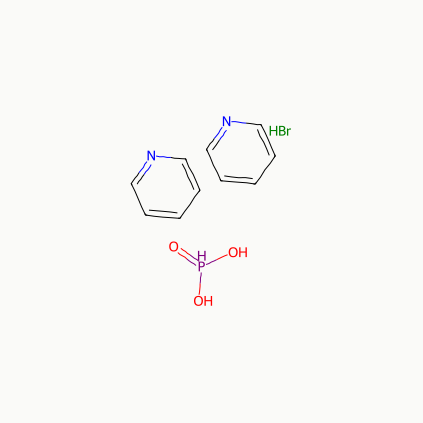 Br.O=[PH](O)O.c1ccncc1.c1ccncc1